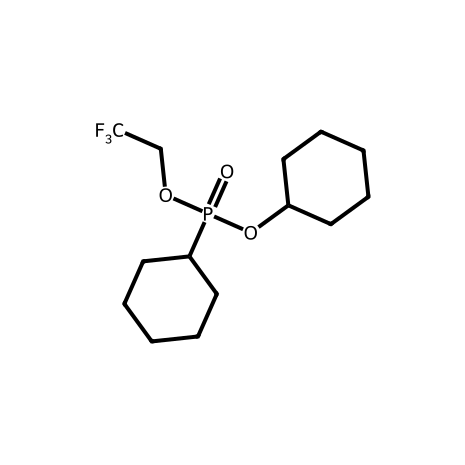 O=P(OCC(F)(F)F)(OC1CCCCC1)C1CCCCC1